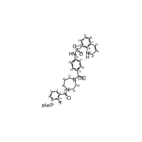 COc1cccc(C(=O)N2CCCN(C(=O)c3ccc(NS(=O)(=O)c4cccc5c4NCC=C5)cc3)CC2)c1F